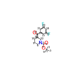 CC(C)(C)OC(=O)N1CCC[C@@H](C(=O)c2cc(F)cc(F)c2)C1